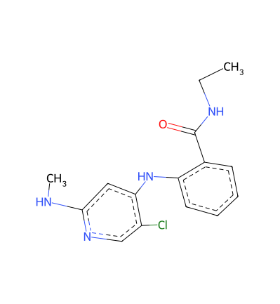 CCNC(=O)c1ccccc1Nc1cc(NC)ncc1Cl